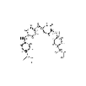 CCC(C)c1ccc(Nc2ccc(Oc3ccc(Nc4ccc(C(C)CC)cc4)cc3)cc2)cc1